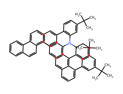 CC(C)(C)c1cc(-c2cccc3cccc(C4=CC=CCC4N(c4cccc(-c5cccc6c5ccc5ccccc56)c4)c4cc(C(C)(C)C)ccc4-c4ccccc4)c23)cc(C(C)(C)C)c1